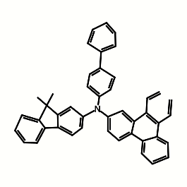 C=Cc1c(C=C)c2cc(N(c3ccc(-c4ccccc4)cc3)c3ccc4c(c3)C(C)(C)c3ccccc3-4)ccc2c2ccccc12